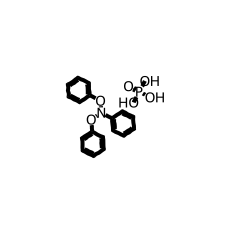 O=P(O)(O)O.c1ccc(ON(Oc2ccccc2)c2ccccc2)cc1